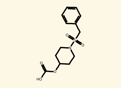 O=C(O)OC1CCN(S(=O)(=O)Cc2ccccc2)CC1